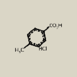 Cc1ccc(C(=O)O)cc1.Cl